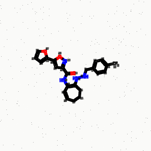 O=C(NC1=C(NNCc2ccc(C(F)(F)F)cc2)CCCC=C1)c1cc(-c2ccco2)on1